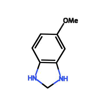 COc1ccc2c(c1)NCN2